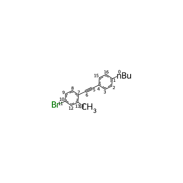 CCCCc1ccc(C#Cc2ccc(Br)cc2C)cc1